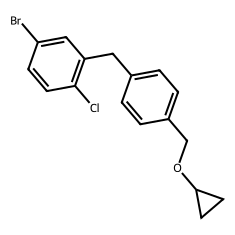 Clc1ccc(Br)cc1Cc1ccc(COC2CC2)cc1